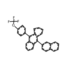 FC(F)(F)Oc1ccc(-c2c3ccccc3c(-c3ccc4ccccc4c3)c3ccccc23)cc1